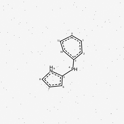 c1ccc(Pc2ccc[nH]2)cc1